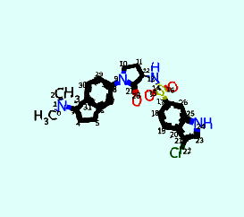 CN(C)C1CCc2cc(N3CC[C@H](NS(=O)(=O)c4ccc5c(Cl)c[nH]c5c4)C3=O)ccc21